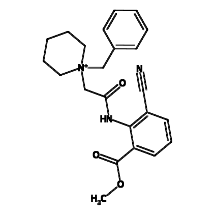 COC(=O)c1cccc(C#N)c1NC(=O)C[N+]1(Cc2ccccc2)CCCCC1